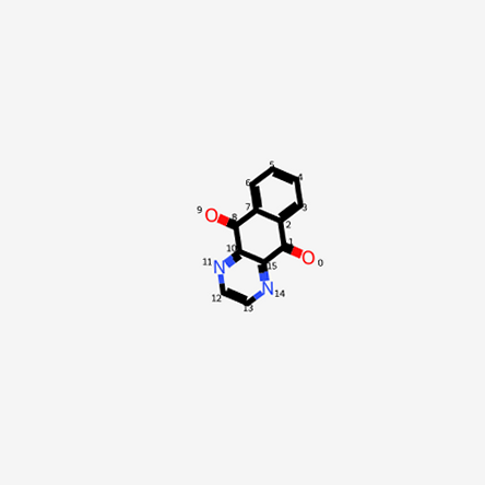 O=C1c2ccccc2C(=O)c2nccnc21